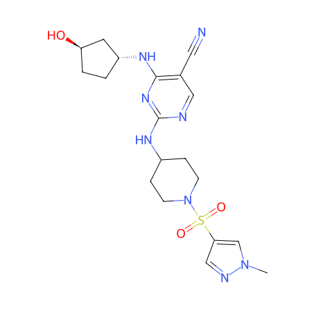 Cn1cc(S(=O)(=O)N2CCC(Nc3ncc(C#N)c(N[C@@H]4CC[C@@H](O)C4)n3)CC2)cn1